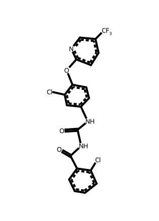 O=C(NC(=O)c1ccccc1Cl)Nc1ccc(Oc2ccc(C(F)(F)F)cn2)c(Cl)c1